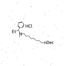 CCCCCCCCCCCCCCCCCCN(C)C(CC)c1ccccc1.Cl